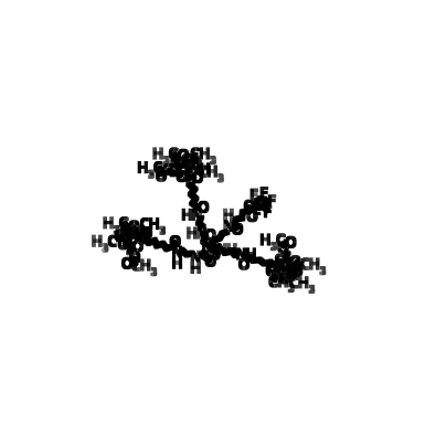 CC(=O)NC1C(OCCCCCC(=O)NCCCNC(=O)CN(C(CCCCNC(=O)CCCC(=O)Oc2c(F)c(F)c(F)c(F)c2F)C(=O)NCCCNC(=O)CCCCCOC2OC(COC(C)=O)C(OC(C)=O)C(OC(C)=O)C2NC(C)=O)C2C(=O)C2NCCCNC(=O)CCCCCOC2OC(COC(C)=O)C(OC(C)=O)C(OC(C)=O)C2NC(C)=O)OC(COC(C)=O)C(OC(C)=O)C1OC(C)=O